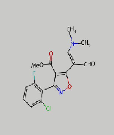 COC(=O)c1c(-c2c(F)cccc2Cl)noc1C(C=O)=CN(C)C